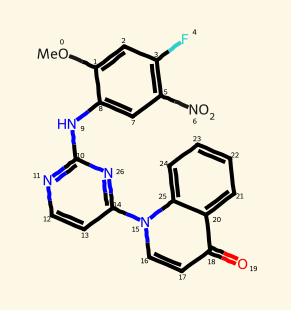 COc1cc(F)c([N+](=O)[O-])cc1Nc1nccc(-n2ccc(=O)c3ccccc32)n1